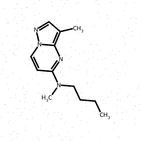 CCCCN(C)c1ccn2ncc(C)c2n1